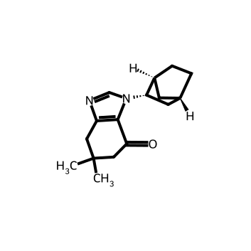 CC1(C)CC(=O)c2c(ncn2[C@H]2C[C@H]3CC[C@H]2C3)C1